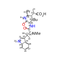 CN[C@@H](C(=O)N[C@@H](C(=O)N(C)[C@H](CC(C)C(=O)O)C(C)C)C(C)(C)C)C(C)(C)c1cn(C)c2ccccc12